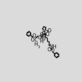 CC(CO[PH](=O)OC(CCCCNC(=O)OCc1ccccc1)C(=O)OC(=O)[C@@H]1CCCN1)OC(=O)c1ccccc1